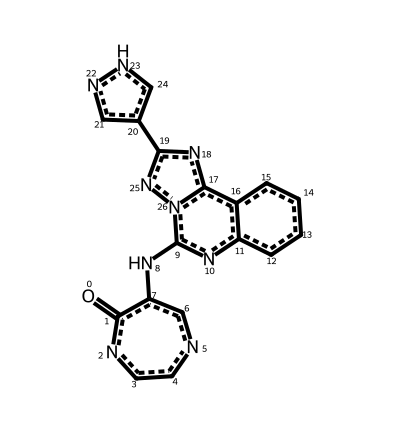 O=c1nccncc1Nc1nc2ccccc2c2nc(-c3cn[nH]c3)nn12